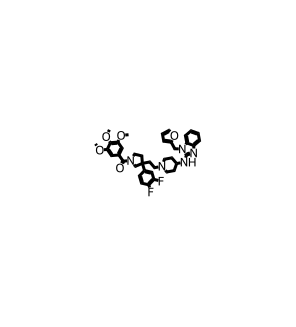 COc1cc(C(=O)N2CCC(CCN3CCC(Nc4nc5ccccc5n4Cc4ccco4)CC3)(c3ccc(F)c(F)c3)C2)cc(OC)c1OC